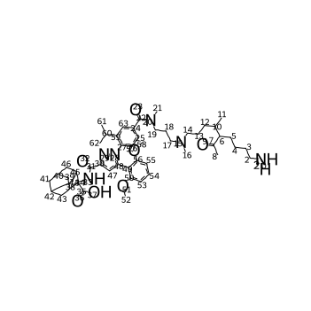 [2H]NCCCCC(C(C)=O)C(C)CCCN(C)CCCN(C)C(=O)c1ccc(-n2nc(C(=O)NC3(C(=O)O)C4CC5CC(C4)CC3C5)cc2-c2c(OC)cccc2OC)c(C(C)C)c1